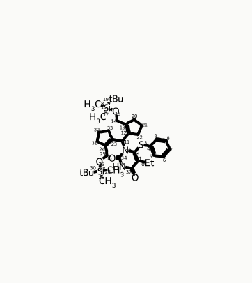 CCc1c(Sc2ccccc2)n(C(C2=C(CO[Si](C)(C)C(C)(C)C)CCC2)C2=C(CO[Si](C)(C)C(C)(C)C)CCC2)c(=O)[nH]c1=O